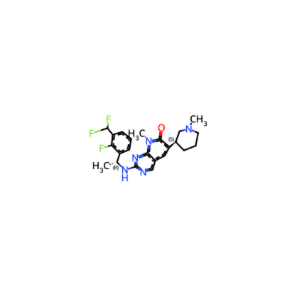 C[C@@H](Nc1ncc2cc([C@@H]3CCCN(C)C3)c(=O)n(C)c2n1)c1cccc(C(F)F)c1F